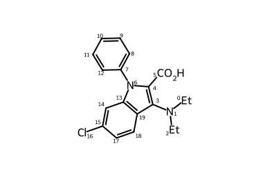 CCN(CC)c1c(C(=O)O)n(-c2ccccc2)c2cc(Cl)ccc12